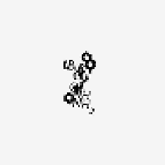 CC(C)(C)OC(=O)N(CCCC(=O)Nc1ccccc1N)Cc1ccc2ccccc2c1